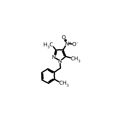 Cc1ccccc1Cn1nc(C)c([N+](=O)[O-])c1C